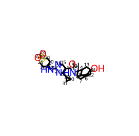 O=C(N[C@H]1C2CC3CC1C[C@@](O)(C3)C2)c1cnc(NC2CCS(=O)(=O)CC2)nc1C1CC1